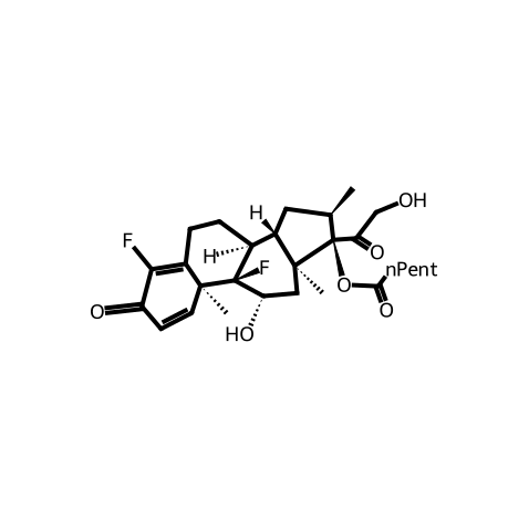 CCCCCC(=O)O[C@]1(C(=O)CO)[C@H](C)C[C@H]2[C@@H]3CCC4=C(F)C(=O)C=C[C@]4(C)[C@@]3(F)[C@@H](O)C[C@@]21C